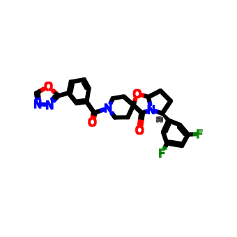 O=C(c1cccc(-c2nnco2)c1)N1CCC2(CC1)OC1CC[C@@H](c3cc(F)cc(F)c3)N1C2=O